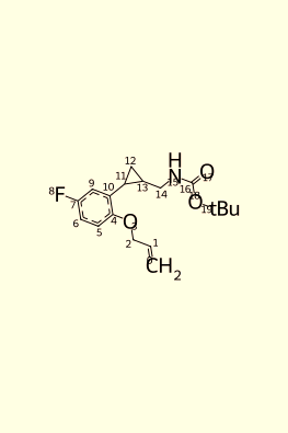 C=CCOc1ccc(F)cc1C1CC1CNC(=O)OC(C)(C)C